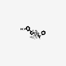 C[C@H]1[C@@H](c2ccccc2)[C@@]1(NS(=O)(=O)c1ccc(-c2cccc(O)c2)s1)C(=O)O